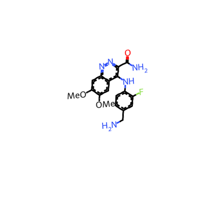 COc1cc2nnc(C(N)=O)c(Nc3ccc(CN)cc3F)c2cc1OC